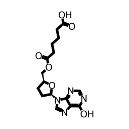 O=C(O)CCCCC(=O)OC[C@@H]1CC[C@H](n2cnc3c(O)ncnc32)O1